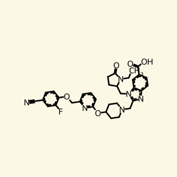 CCN1C(=O)CCC1Cn1c(CN2CCC(Oc3cccc(COc4ccc(C#N)cc4F)n3)CC2)nc2ccc(C(=O)O)cc21